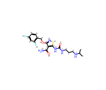 CC(C)NCCCNC(=O)Nc1snc(OCc2ccc(F)cc2F)c1C(N)=O